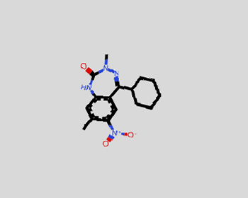 Cc1cc2c(cc1[N+](=O)[O-])C(C1CCCCC1)=NN(C)C(=O)N2